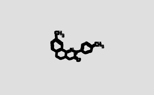 Cc1ccc(N2N=C3c4cc(C)ccc4CCC3CC2=O)cc1